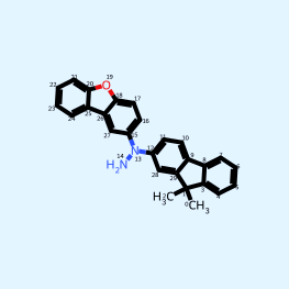 CC1(C)c2ccccc2-c2ccc(N(N)c3ccc4oc5ccccc5c4c3)cc21